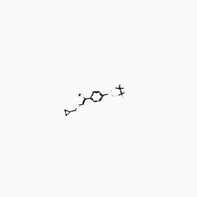 C=N/C(=C\NCC1CC1)c1ccc(B2OC(C)(C)C(C)(C)O2)cc1